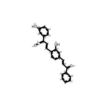 O=C=C(C=Cc1ccc(C=CC(=O)c2ccccc2)cc1O)c1cccc(O)c1